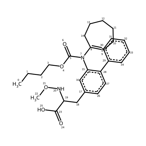 CCCCOC(=O)N(C1=NCCCCC1)c1cc(CC(NOC)C(=O)O)ccc1-c1ccccc1